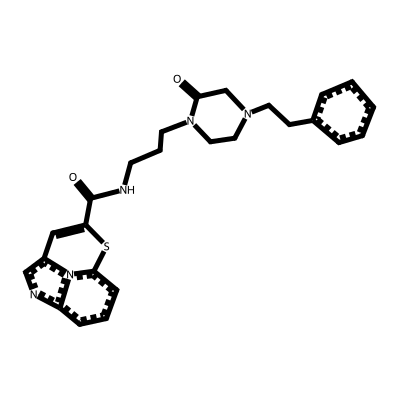 O=C(NCCCN1CCN(CCc2ccccc2)CC1=O)C1=Cc2cnc3cccc(n23)S1